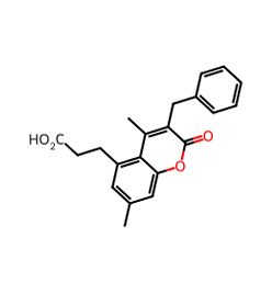 Cc1cc(CCC(=O)O)c2c(C)c(Cc3ccccc3)c(=O)oc2c1